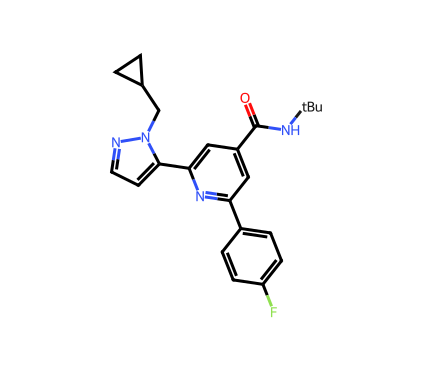 CC(C)(C)NC(=O)c1cc(-c2ccc(F)cc2)nc(-c2ccnn2CC2CC2)c1